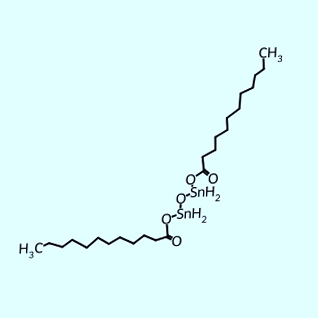 CCCCCCCCCCCC(=O)[O][SnH2][O][SnH2][O]C(=O)CCCCCCCCCCC